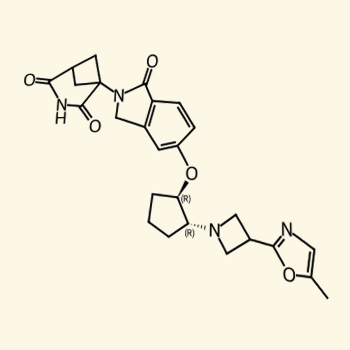 Cc1cnc(C2CN([C@@H]3CCC[C@H]3Oc3ccc4c(c3)CN(C35CC(C3)C(=O)NC5=O)C4=O)C2)o1